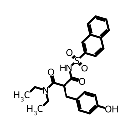 CCN(CC)C(=O)C(Cc1ccc(O)cc1)C(=O)NS(=O)(=O)c1ccc2ccccc2c1